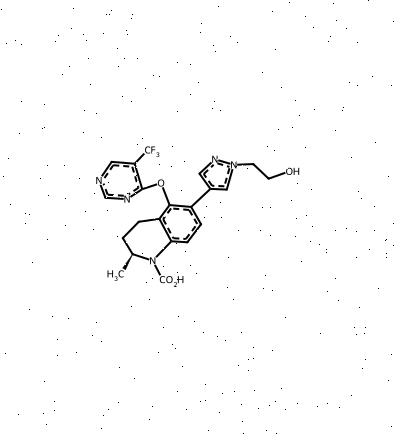 C[C@H]1CCc2c(ccc(-c3cnn(CCO)c3)c2Oc2ncncc2C(F)(F)F)N1C(=O)O